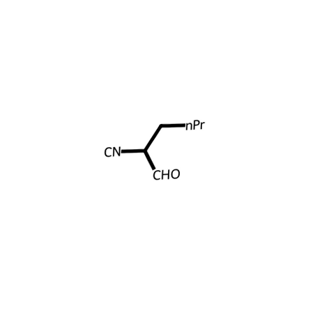 [C-]#[N+]C(C=O)CCCC